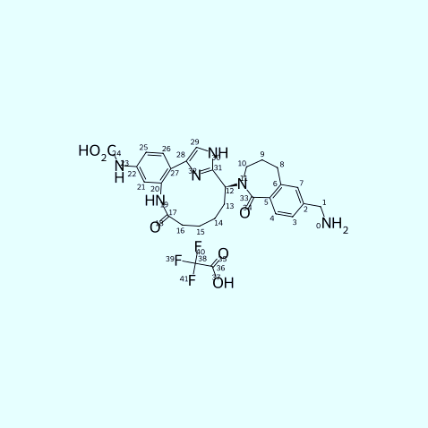 NCc1ccc2c(c1)CCCN([C@H]1CCCCC(=O)Nc3cc(NC(=O)O)ccc3-c3c[nH]c1n3)C2=O.O=C(O)C(F)(F)F